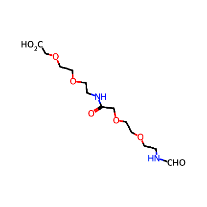 O=CNCCOCCOCC(=O)NCCOCCOCC(=O)O